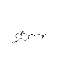 CN(C)CCC[C@H]1CC[C@]2(C)[C@@H](C=O)CC[C@]2(O)C1